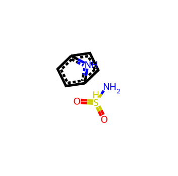 N[SH](=O)=O.c1cc2ccc1[nH]2